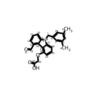 Cc1cc(C)cc(Cn2c3cccc(C=O)c3c3c(OCC(=O)O)cccc32)c1